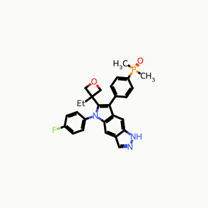 CCC1(c2c(-c3ccc(P(C)(C)=O)cc3)c3cc4[nH]ncc4cc3n2-c2ccc(F)cc2)COC1